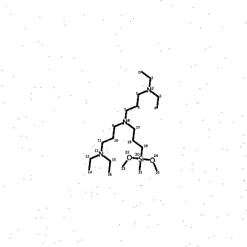 CCN(CC)CCCN(CCCN(CC)CC)CCC[Si](C)(OC)OC